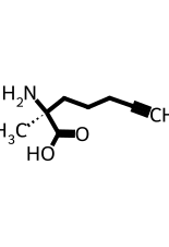 C#CCCC[C@](C)(N)C(=O)O